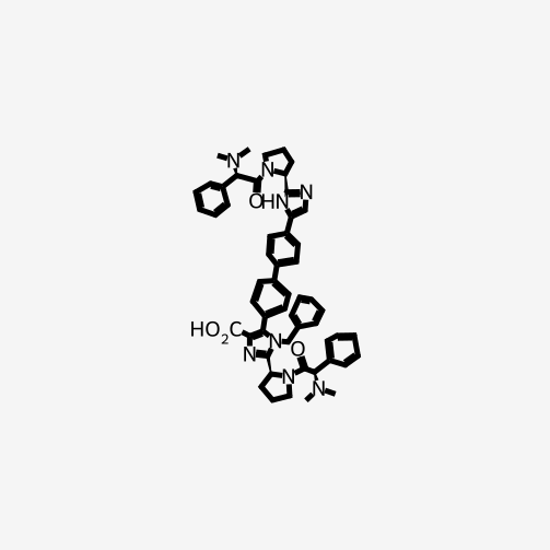 CN(C)[C@@H](C(=O)N1CCC[C@H]1c1ncc(-c2ccc(-c3ccc(-c4c(C(=O)O)nc([C@@H]5CCCN5C(=O)[C@@H](c5ccccc5)N(C)C)n4Cc4ccccc4)cc3)cc2)[nH]1)c1ccccc1